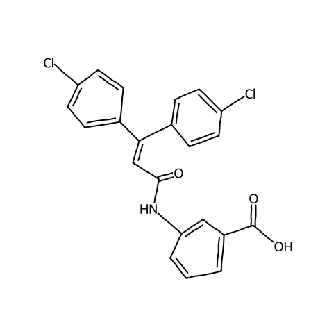 O=C(C=C(c1ccc(Cl)cc1)c1ccc(Cl)cc1)Nc1cccc(C(=O)O)c1